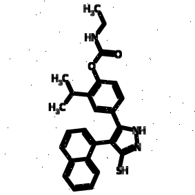 CCNC(=O)Oc1ccc(-c2[nH]nc(S)c2-c2cccc3ccccc23)cc1C(C)C